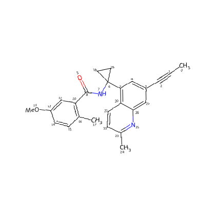 CC#Cc1cc(C2(NC(=O)c3cc(OC)ccc3C)CC2)c2ccc(C)nc2c1